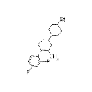 CCC1CCC(C2CCC(c3ccc(F)cc3F)=C(C)C2)CC1